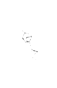 CC1(C)C2C[C@H]1CCC2N1CB1O